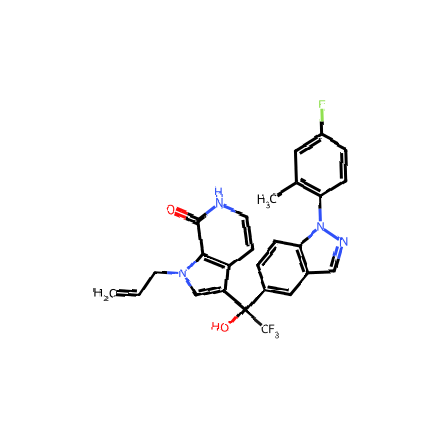 C=CCn1cc(C(O)(c2ccc3c(cnn3-c3ccc(F)cc3C)c2)C(F)(F)F)c2cc[nH]c(=O)c21